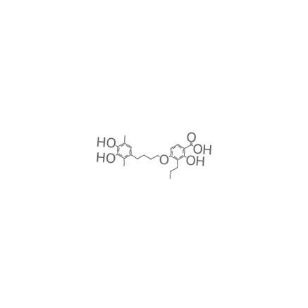 CCCc1c(OCCCCc2cc(C)c(O)c(O)c2C)ccc(C(=O)O)c1O